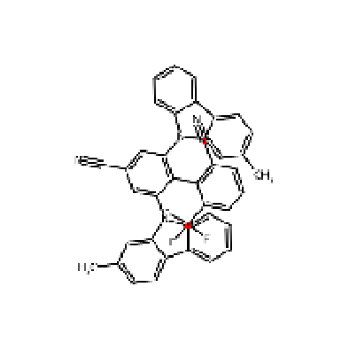 Cc1ccc2c3ccccc3n(-c3cc(C#N)cc(-n4c5ccccc5c5ccc(C)cc54)c3-c3c(C#N)cccc3C(F)(F)F)c2c1